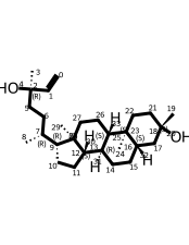 C=C[C@](C)(O)CC[C@@H](C)[C@H]1CC[C@H]2[C@@H]3CC[C@H]4C[C@@](C)(O)CC[C@]4(C)[C@H]3CC[C@]12C